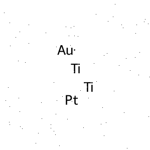 [Au].[Pt].[Ti].[Ti]